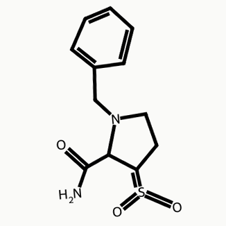 NC(=O)C1C(=S(=O)=O)CCN1Cc1ccccc1